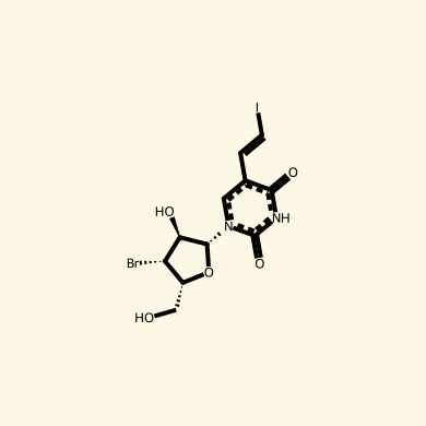 O=c1[nH]c(=O)n([C@@H]2O[C@H](CO)[C@H](Br)[C@H]2O)cc1C=CI